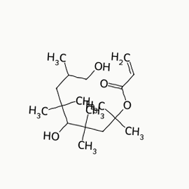 C=CC(=O)OC(C)(C)CC(C)(C)C(O)C(C)(C)CC(C)CO